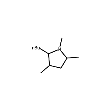 CCCCC1C(C)CC(C)N1C